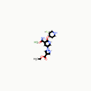 CCOC(=O)c1cnn(-c2cnc(O[C@@H]3CCNC[C@H]3F)c(C(N)=O)c2)c1.Cl